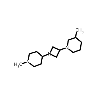 CC1CCCN(C2CN(C3CCN(C)CC3)C2)C1